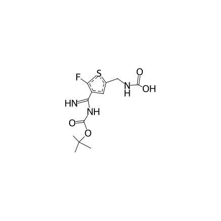 CC(C)(C)OC(=O)NC(=N)c1cc(CNC(=O)O)sc1F